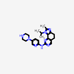 Cc1nc2c(n1C(C)C)-c1nc(Nc3ccc(N4CCNCC4)cn3)ncc1CC2